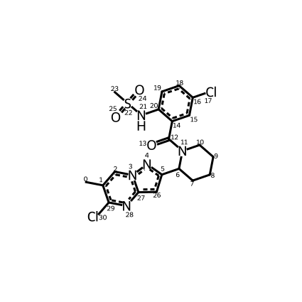 Cc1cn2nc(C3CCCCN3C(=O)c3cc(Cl)ccc3NS(C)(=O)=O)cc2nc1Cl